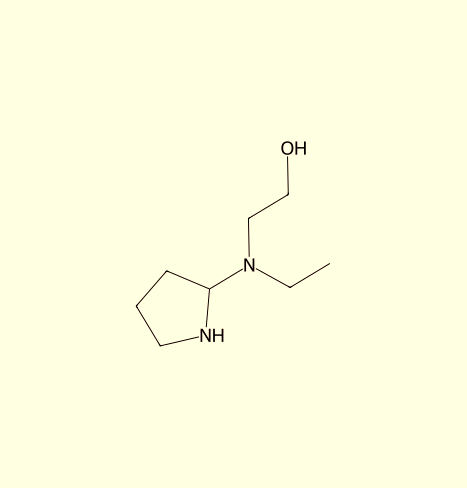 CCN(CCO)C1CCCN1